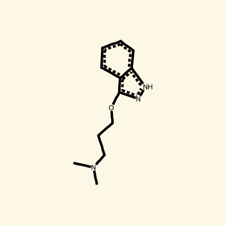 CN(C)CCCOc1n[nH]c2ccccc12